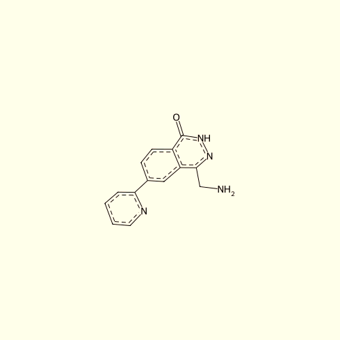 NCc1n[nH]c(=O)c2ccc(-c3ccccn3)cc12